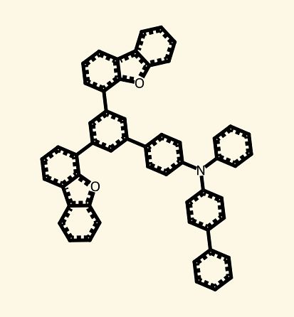 c1ccc(-c2ccc(N(c3ccccc3)c3ccc(-c4cc(-c5cccc6c5oc5ccccc56)cc(-c5cccc6c5oc5ccccc56)c4)cc3)cc2)cc1